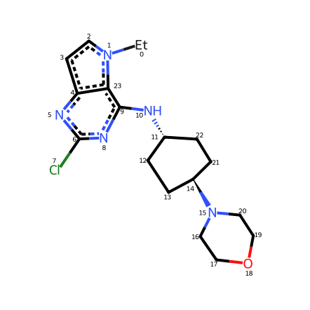 CCn1ccc2nc(Cl)nc(N[C@H]3CC[C@H](N4CCOCC4)CC3)c21